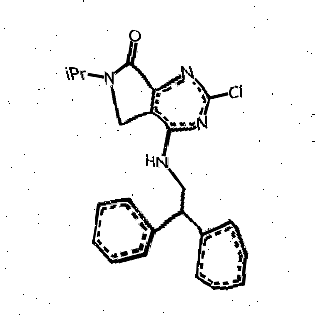 CC(C)N1Cc2c(NCC(c3ccccc3)c3ccccc3)nc(Cl)nc2C1=O